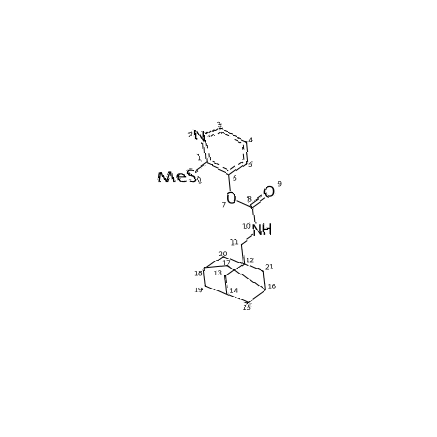 CSc1ncccc1OC(=O)NCC12CC3CC(CC(C3)C1)C2